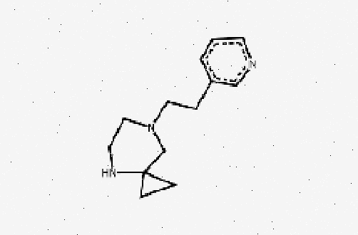 c1cncc(CCN2CCNC3(CC3)C2)c1